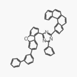 c1ccc(-c2cccc(-c3ccc4c(c3)oc3cccc(-c5nc(-c6ccccc6)nc(-c6ccc7ccc8ccc9ccccc9c8c7c6)n5)c34)c2)cc1